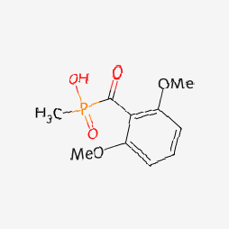 COc1cccc(OC)c1C(=O)P(C)(=O)O